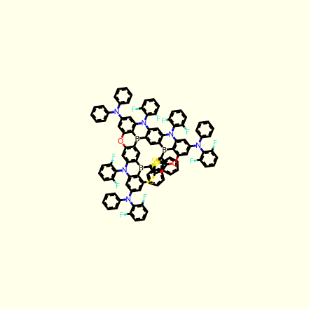 Fc1cccc(F)c1N(c1ccccc1)c1cc2c3c(c1)N(c1c(F)cccc1F)c1cc4c(cc1B3c1sc3ccccc3c1O2)B1c2cc3c(cc2Oc2cc(N(c5ccccc5)c5ccccc5)cc(c21)N4c1c(F)cccc1F)N(c1c(F)cccc1F)c1cc(N(c2ccccc2)c2c(F)cccc2F)cc2c1B3c1sc3ccccc3c1S2